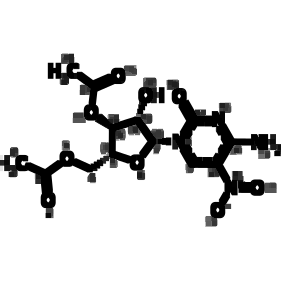 CC(=O)OC[C@H]1O[C@@H](n2cc([N+](=O)[O-])c(N)nc2=O)[C@@H](O)[C@@H]1OC(C)=O